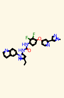 CCc1cc(NC(=O)Nc2ccc(Oc3ccnc(-c4cnn(C)c4)c3)c(F)c2F)n(-c2ccc3ncccc3c2)n1